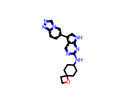 c1cc2nncn2cc1-c1c[nH]c2nc(NC3CCC4(CCO4)CC3)ncc12